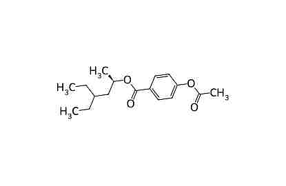 CCC(CC)C[C@@H](C)OC(=O)c1ccc(OC(C)=O)cc1